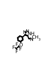 C/N=C\c1[nH]nnc1-c1cccc(OC(F)(F)C(F)F)c1